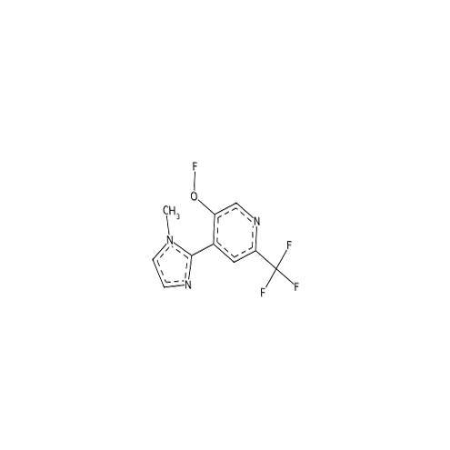 Cn1ccnc1-c1cc(C(F)(F)F)ncc1OF